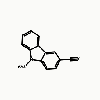 C#Cc1ccc2c(c1)c1ccccc1n2CCCCCCCC